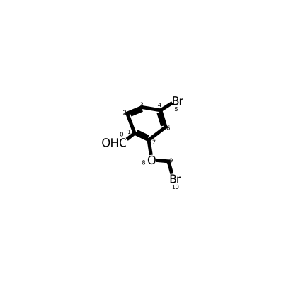 O=Cc1ccc(Br)cc1OCBr